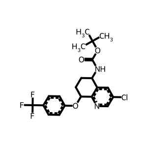 CC(C)(C)OC(=O)NC1CCC(Oc2ccc(C(F)(F)F)cc2)c2ncc(Cl)cc21